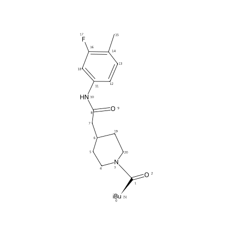 CC[C@H](C)C(=O)N1CCC(CC(=O)Nc2ccc(C)c(F)c2)CC1